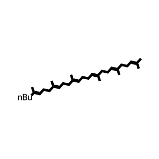 CCCCC(C)=CCC/C(C)=C/CC/C(C)=C/CC/C=C(\C)CC/C=C(\C)CCC=C(C)C